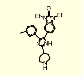 CCn1c(=O)n(CC)c2cc(-c3[nH]c(C4CCNCC4)nc3-c3cccc(C)c3)ccc21